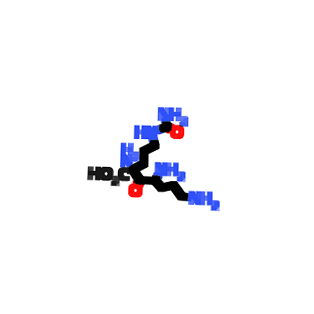 NCCCC(N)C(=O)[C@](N)(CCCNC(N)=O)C(=O)O